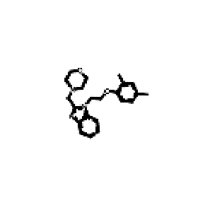 Cc1ccc(OCCn2c(CN3CCOCC3)nc3ccccc32)c(C)c1